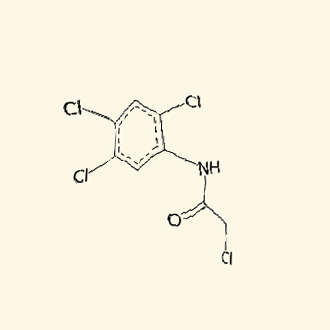 O=C(CCl)Nc1cc(Cl)c(Cl)cc1Cl